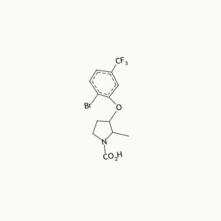 CC1C(Oc2cc(C(F)(F)F)ccc2Br)CCN1C(=O)O